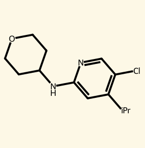 CC(C)c1cc(NC2CCOCC2)ncc1Cl